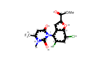 COC(=O)c1cc2c(-n3c(=O)cc(C(F)(F)F)n(C)c3=O)c(F)cc(Cl)c2o1